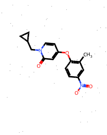 Cc1cc([N+](=O)[O-])ccc1Oc1ccn(CC2CC2)c(=O)c1